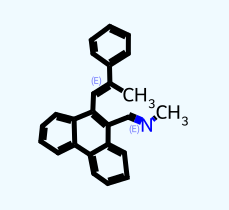 C/N=C/c1c(/C=C(\C)c2ccccc2)c2ccccc2c2ccccc12